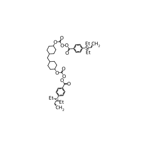 C=C[Si](CC)(CC)c1ccc(C(=O)OOC(=O)OC2CCC(CC3CCC(OC(=O)OOC(=O)c4ccc([Si](C=C)(CC)CC)cc4)CC3)CC2)cc1